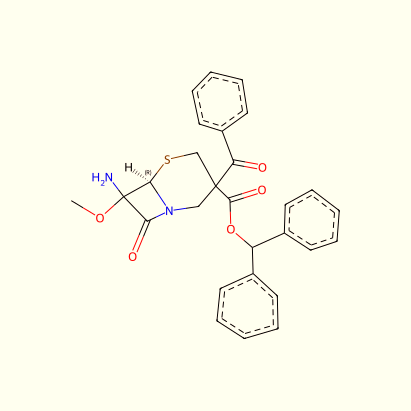 COC1(N)C(=O)N2CC(C(=O)OC(c3ccccc3)c3ccccc3)(C(=O)c3ccccc3)CS[C@@H]21